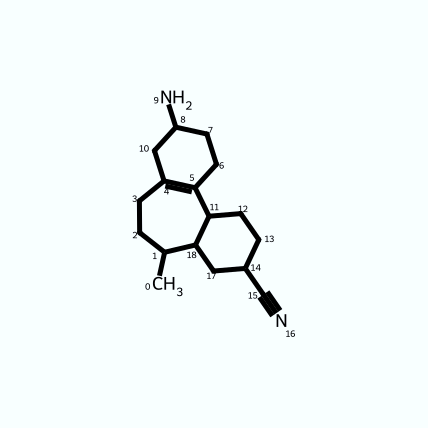 CC1CCC2=C(CCC(N)C2)C2CCC(C#N)CC12